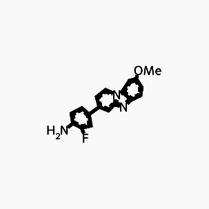 COc1ccc2nc3cc(-c4ccc(N)c(F)c4)ccn3c2c1